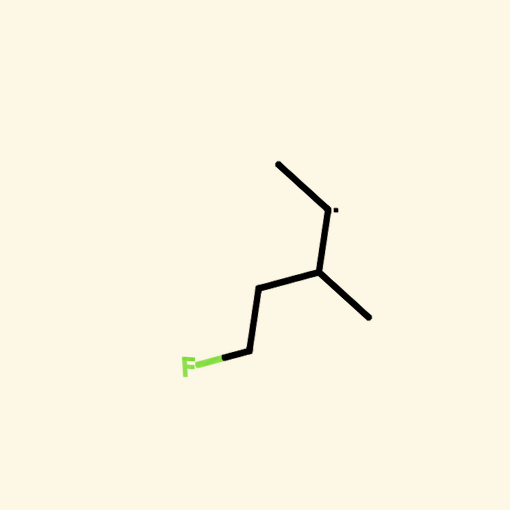 C[CH]C(C)CCF